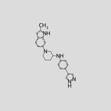 Cc1cc2ccc(N3CCCC(Nc4ccc(-c5cn[nH]c5)cc4)C3)cc2[nH]1